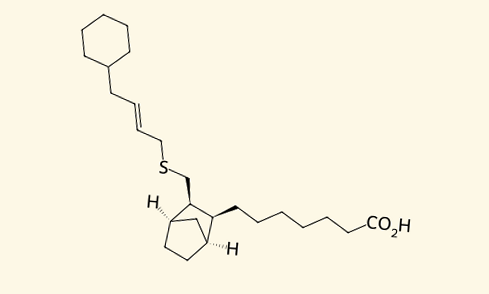 O=C(O)CCCCCC[C@H]1[C@H]2CC[C@H](C2)[C@H]1CSCC=CCC1CCCCC1